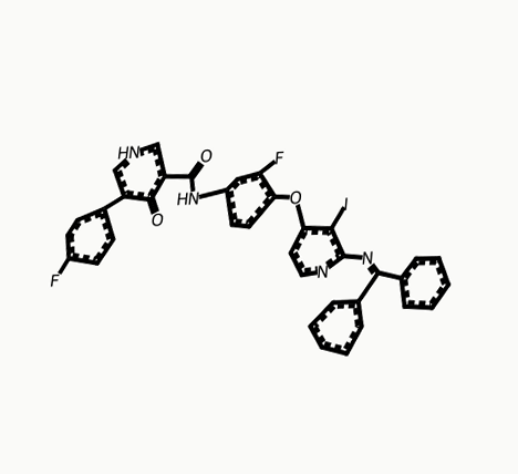 O=C(Nc1ccc(Oc2ccnc(N=C(c3ccccc3)c3ccccc3)c2I)c(F)c1)c1c[nH]cc(-c2ccc(F)cc2)c1=O